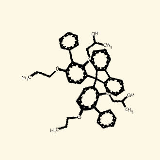 CCCOc1ccc(C2(c3ccc(OCCC)c(-c4ccccc4)c3OCC(C)O)c3ccccc3-c3ccccc32)c(OCC(C)O)c1-c1ccccc1